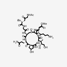 CC/C(=C\C=C\C1(SCCCCN)NC(=O)[C@H]([C@@H](C)[C@@H](O)CO)NC(=O)[C@@H]2C[C@@H](O)CN2C(=O)[C@H](CCC(N)=O)NC(=O)[C@@H](NC(=O)CNC(=O)[C@@H](CC(=O)CNC(C)=O)[C@@H](C)CC)C[S+]([O-])C1N)OC